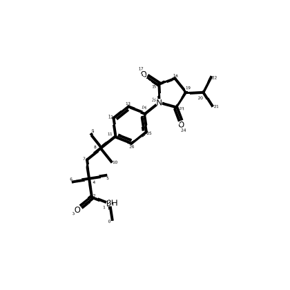 CBC(=O)C(C)(C)CC(C)(C)c1ccc(N2C(=O)CC(C(C)C)C2=O)cc1